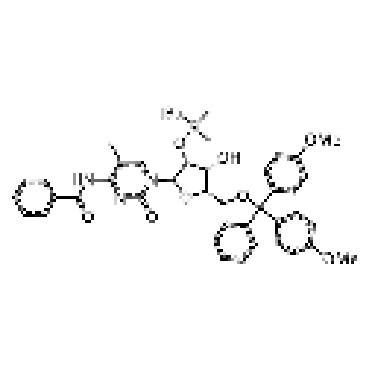 COc1ccc(C(OC[C@H]2O[C@@H](n3cc(C)c(NC(=O)c4ccccc4)nc3=O)[C@H](O[Si](C)(C)C(C)(C)C)[C@@H]2O)(c2ccccc2)c2ccc(OC)cc2)cc1